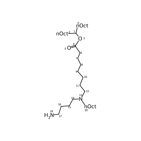 CCCCCCCCC(CCCCCCCC)OC(=O)CCCCCCCN(CCCCN)CCCCCCCC